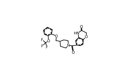 O=C1COc2ccc(C(=O)N3CCC(COc4ccccc4OC(F)(F)F)CC3)cc2N1